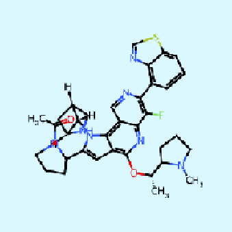 CC(=O)N1CCCC1c1cc2c(O[C@@H](C)C3CCCN3C)nc3c(F)c(-c4cccc5scnc45)ncc3c2n1[C@H]1[C@H]2CN[C@@H]1C2